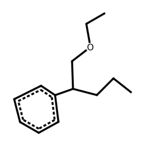 CCCC(COCC)c1ccccc1